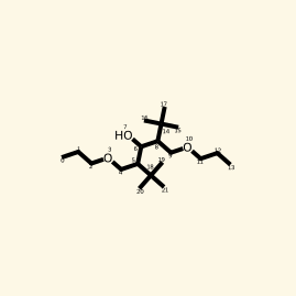 CCCOCC(C(O)C(COCCC)C(C)(C)C)C(C)(C)C